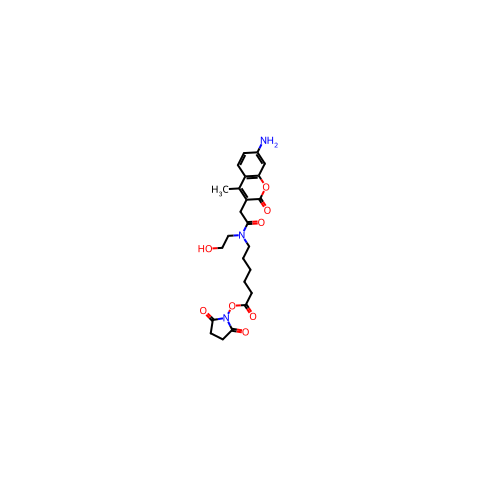 Cc1c(CC(=O)N(CCO)CCCCCC(=O)ON2C(=O)CCC2=O)c(=O)oc2cc(N)ccc12